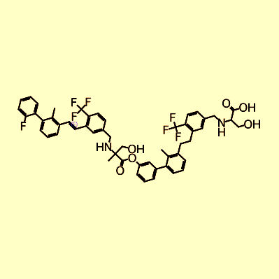 Cc1c(/C=C/c2cc(CNC(C)(CO)C(=O)Oc3cccc(-c4cccc(CCc5cc(CNC(CO)C(=O)O)ccc5C(F)(F)F)c4C)c3)ccc2C(F)(F)F)cccc1-c1ccccc1F